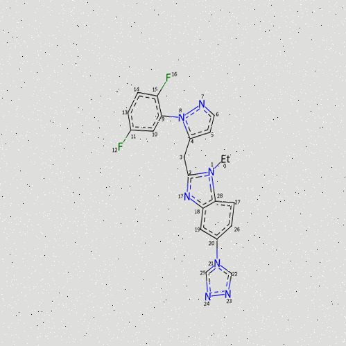 CCn1c(Cc2ccnn2-c2cc(F)ccc2F)nc2cc(-n3cnnc3)ccc21